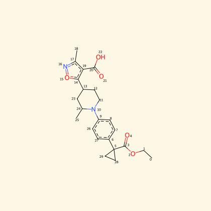 CCOC(=O)C1(c2ccc(N3CCC(c4onc(C)c4C(=O)O)CC3C)cc2)CC1